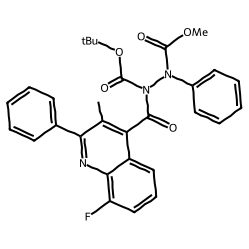 COC(=O)N(c1ccccc1)N(C(=O)OC(C)(C)C)C(=O)c1c(C)c(-c2ccccc2)nc2c(F)cccc12